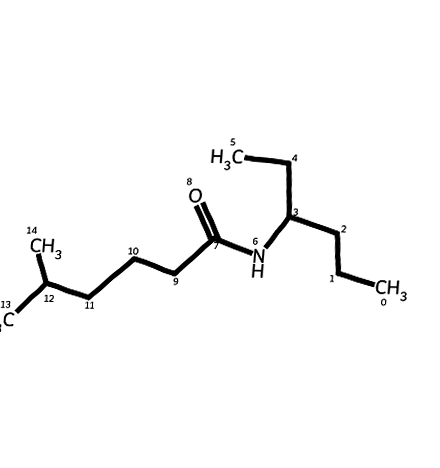 CCCC(CC)NC(=O)CCCC(C)C